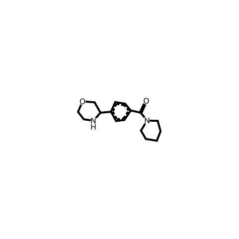 O=C(c1ccc(C2COCCN2)cc1)N1CCCCC1